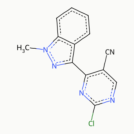 Cn1nc(-c2nc(Cl)ncc2C#N)c2ccccc21